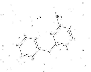 CC(C)(C)c1ccnc(Cc2ccccc2)c1